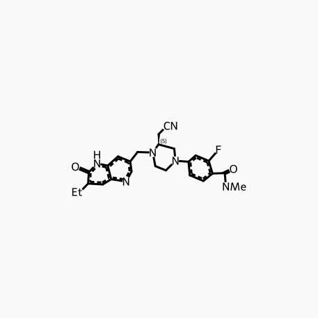 CCc1cc2ncc(CN3CCN(c4ccc(C(=O)NC)c(F)c4)C[C@@H]3CC#N)cc2[nH]c1=O